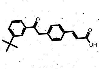 CC(C)(C)c1cccc(C(=O)Cc2ccc(/C=C/C(=O)O)cc2)c1